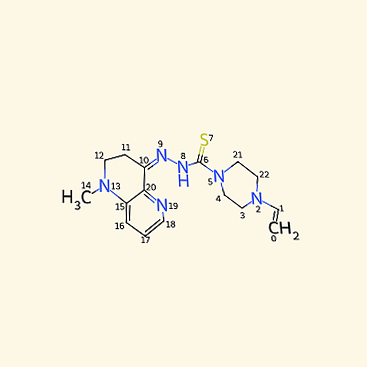 C=CN1CCN(C(=S)N/N=C2/CCN(C)c3cccnc32)CC1